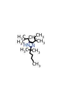 CCCCCC(C)(C)c1nc(C(C)CC)c(C(C)C(C)C)[nH]1